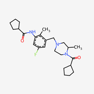 Cc1c(CN2CCN(C(=O)C3CCCC3)C(C)C2)cc(F)cc1NC(=O)C1CCCC1